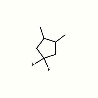 CC1CC(F)(F)CC1C